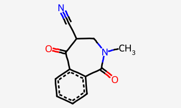 CN1CC(C#N)C(=O)c2ccccc2C1=O